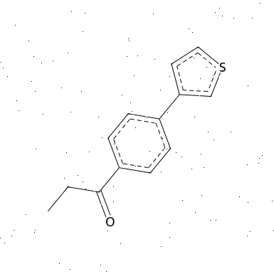 CCC(=O)c1ccc(-c2ccsc2)cc1